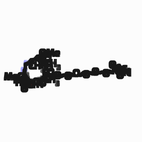 COc1cc2cc(c1Cl)N(C)C(=O)C[C@H](OC(=O)COCCOCCOCCOCCOCCOCCN1C(=O)CC(SNI)C1=O)[C@]1(C)O[C@H]1C[C@@H]1C[C@@](O)(NC(=O)O1)[C@H](OC)/C=C/C=C(\C)C2